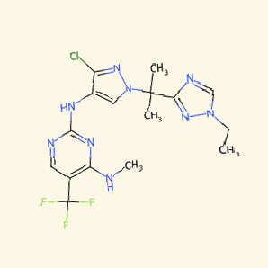 CCn1cnc(C(C)(C)n2cc(Nc3ncc(C(F)(F)F)c(NC)n3)c(Cl)n2)n1